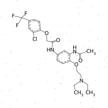 CCN(CC)CCOc1ccc(NC(=O)COc2ccc(C(F)(F)F)cc2Cl)cc1NC(C)=O